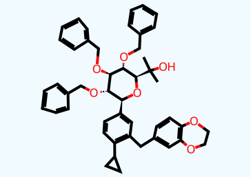 CC(C)(O)[C@H]1O[C@@H](c2ccc(C3CC3)c(Cc3ccc4c(c3)OCCO4)c2)[C@H](OCc2ccccc2)[C@@H](OCc2ccccc2)[C@@H]1OCc1ccccc1